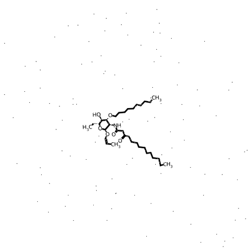 C/C=C\O[C@H]1O[C@H](CC)[C@@H](O)[C@H](OCCCCCCCCCC)[C@H]1NC(=O)CC(=O)CCCCCCCCCCC